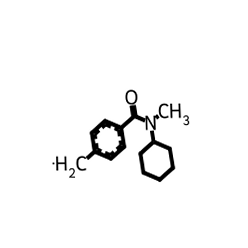 [CH2]c1ccc(C(=O)N(C)C2CCCCC2)cc1